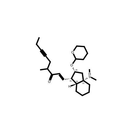 CCC#CCC(C)C(=O)C=C[C@H]1[C@H]2CCCC[C@]2([SiH](C)C)C[C@H]1OC1CCCCO1